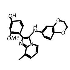 COc1cc(O)ccc1-c1nc2c(C)cccn2c1Nc1ccc2c(c1)OCCO2